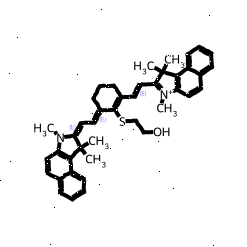 CN1/C(=C/C=C2\CCCC(/C=C/C3=[N+](C)c4ccc5ccccc5c4C3(C)C)=C2SCCO)C(C)(C)c2c1ccc1ccccc21